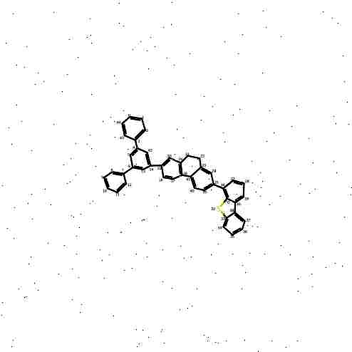 c1ccc(-c2cc(-c3ccccc3)cc(-c3ccc4c(c3)CCc3cc(-c5cccc6c5sc5ccccc56)ccc3-4)c2)cc1